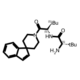 CC[C@H](C)[C@H](NC(=O)[C@@H](N)C(C)(C)C)C(=O)N1CCC2(C=Cc3ccccc32)CC1